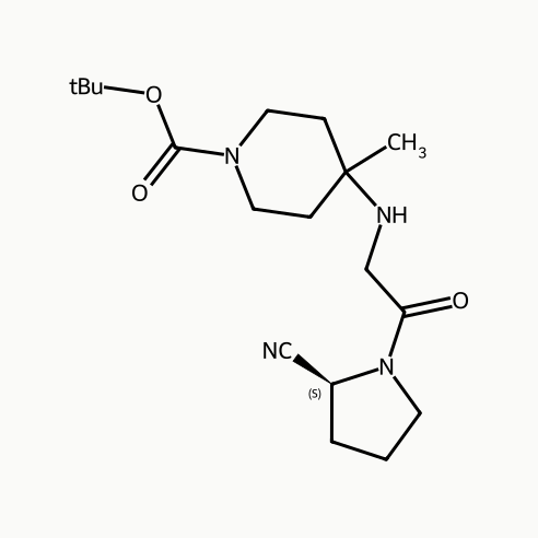 CC1(NCC(=O)N2CCC[C@H]2C#N)CCN(C(=O)OC(C)(C)C)CC1